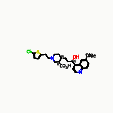 COc1ccc2nccc([C@@H](O)CC[C@@H]3CCN(CCc4ccc(Cl)s4)C[C@@H]3C(=O)O)c2c1